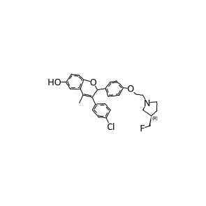 CC1=C(c2ccc(Cl)cc2)C(c2ccc(OCCN3CC[C@@H](CF)C3)cc2)Oc2ccc(O)cc21